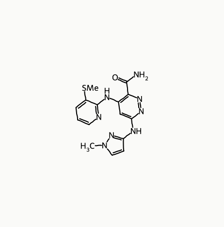 CSc1cccnc1Nc1cc(Nc2ccn(C)n2)nnc1C(N)=O